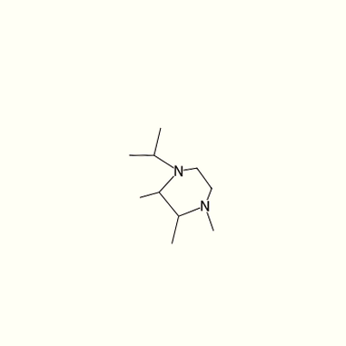 CC1C(C)N(C(C)C)CCN1C